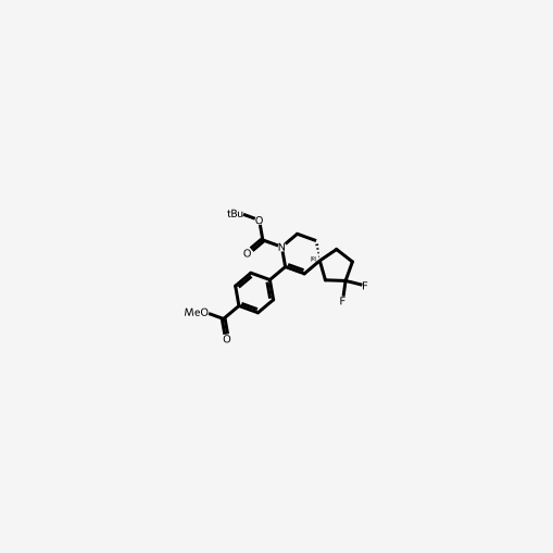 COC(=O)c1ccc(C2=C[C@@]3(CCN2C(=O)OC(C)(C)C)CCC(F)(F)C3)cc1